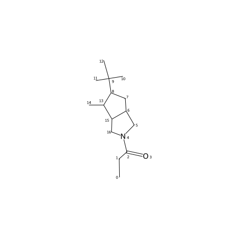 CCC(=O)N1CC2CC(C(C)(C)C)C(C)C2C1